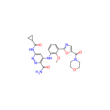 COc1c(Nc2cc(NC(=O)C3CC3)nnc2C(N)=O)cccc1-c1ncc(C(=O)N2CCOCC2)o1